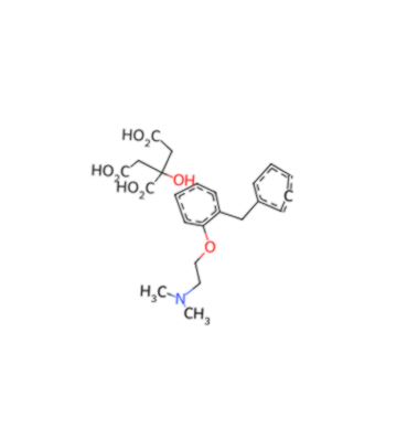 CN(C)CCOc1ccccc1Cc1ccccc1.O=C(O)CC(O)(CC(=O)O)C(=O)O